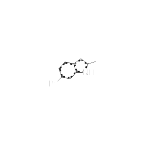 Cc1cc2ccc(Br)cc2[nH]1